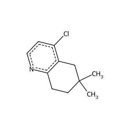 CC1(C)CCc2nccc(Cl)c2C1